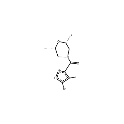 Cc1c(C(=O)N2C[C@@H](C)O[C@@H](C)C2)noc1Br